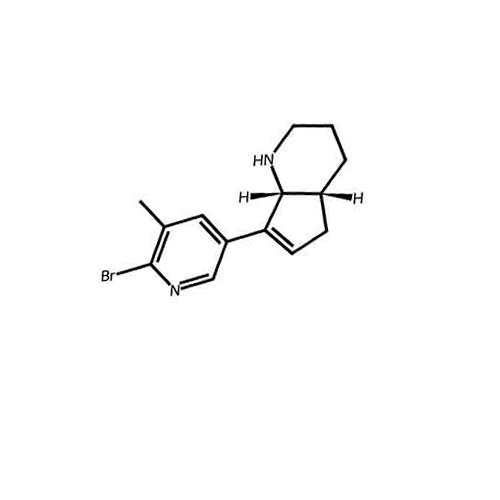 Cc1cc(C2=CC[C@H]3CCCN[C@@H]23)cnc1Br